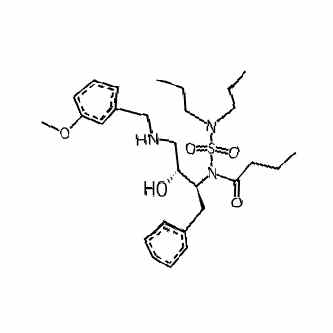 CCCC(=O)N([C@@H](Cc1ccccc1)[C@H](O)CNCc1cccc(OC)c1)S(=O)(=O)N(CCC)CCC